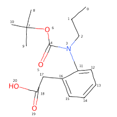 CCCN(C(=O)OC(C)(C)C)c1ccccc1CC(=O)O